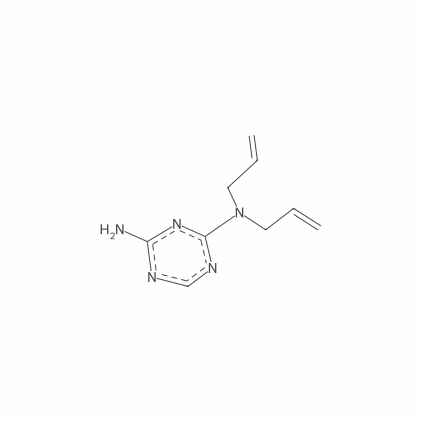 C=CCN(CC=C)c1ncnc(N)n1